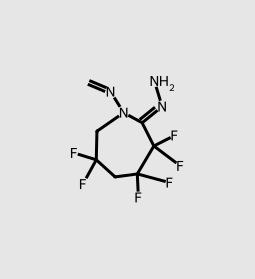 C=NN1CC(F)(F)CC(F)(F)C(F)(F)/C1=N/N